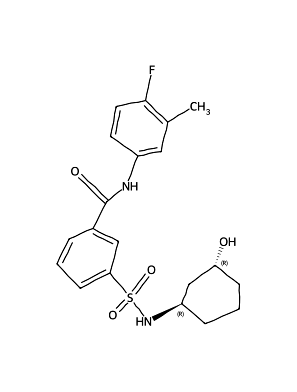 Cc1cc(NC(=O)c2cccc(S(=O)(=O)N[C@@H]3CCC[C@@H](O)C3)c2)ccc1F